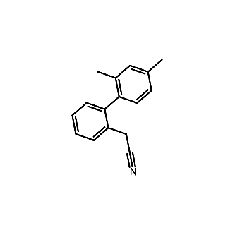 Cc1ccc(-c2ccccc2CC#N)c(C)c1